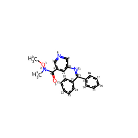 CON(C)C(=O)c1cncc(N=C(c2ccccc2)c2ccccc2)c1